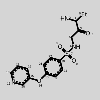 CCC([NH])C(=O)CNS(=O)(=O)c1ccc(Oc2cccnc2)cc1